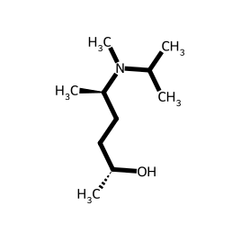 CC(C)N(C)[C@H](C)CC[C@@H](C)O